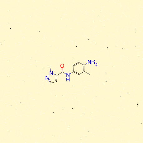 Cc1cc(NC(=O)c2ccnn2C)ccc1N